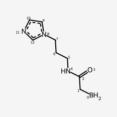 BCC(=O)NCCCn1ccnc1